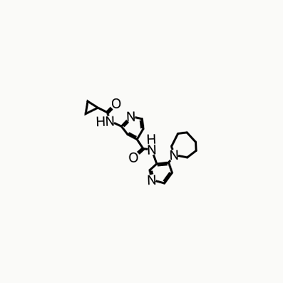 O=C(Nc1cnccc1N1CCCCCC1)c1ccnc(NC(=O)C2CC2)c1